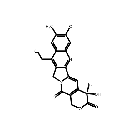 CC[C@@]1(O)C(=O)OCc2c1cc1n(c2=O)Cc2c-1nc1cc(Cl)c(C)cc1c2CCl